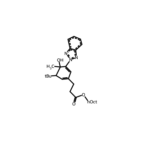 CCCCCCCCOC(=O)CCC1=CC(C(C)(C)C)C(C)(O)C(n2nc3ccccc3n2)=C1